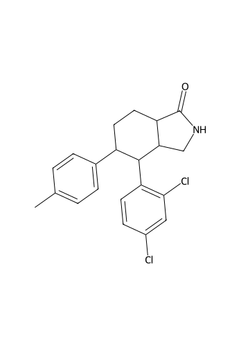 Cc1ccc(C2CCC3C(=O)NCC3C2c2ccc(Cl)cc2Cl)cc1